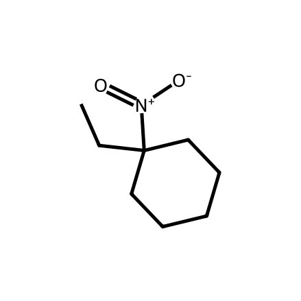 CCC1([N+](=O)[O-])CCCCC1